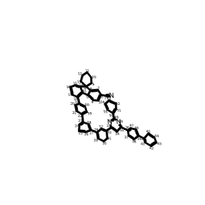 N#Cc1ccc2c(c1)C1(CCCCC1)c1cccc(-c3ccc(-c4cccc(C5=CCCC(c6cc(-c7ccc(-c8ccccc8)cc7)nc(-c7ccccc7)n6)=C5)c4)cc3)c1-2